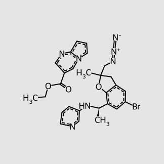 CCOC(=O)c1cnc2cccn2c1.C[C@@H](Nc1cccnc1)c1cc(Br)cc2c1OC(C)(CN=[N+]=[N-])C2